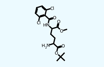 COC(=O)C(CCC(N)C(=O)OC(C)(C)C)NC(=O)c1c(Cl)cccc1Cl